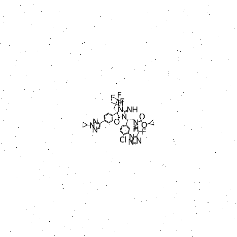 CC(C)(C[C@]1(c2ccc(-c3cnn(C4CC4)n3)cc2)NC(=N)N([C@H](CNC(=O)OC2CC2)c2ccc(Cl)c(-n3ncnc3C(F)F)c2)C1=O)C(F)(F)F